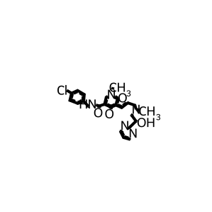 CN(Cc1cc2c(=O)c(C(=O)NCc3ccc(Cl)cc3)cn(C)c2o1)CC(O)c1ncccn1